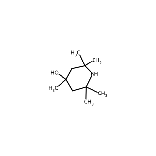 CC1(O)CC(C)(C)NC(C)(C)C1